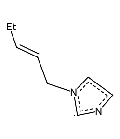 CCC=CCn1[c]ncc1